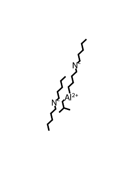 CC(C)[CH2][Al+2].CCCCC[N-]CCCCC.CCCCC[N-]CCCCC